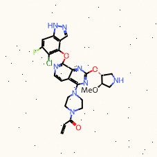 C=CC(=O)N1CCN(c2nc(O[C@@H]3CNC[C@H]3OC)nc3c(Oc4c(Cl)c(F)cc5[nH]ncc45)nccc23)CC1